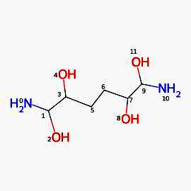 NC(O)C(O)CCC(O)C(N)O